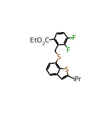 CCOC(=O)c1ccc(F)c(F)c1CSc1cccc2cc(C(C)C)sc12